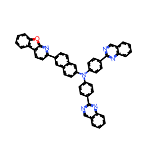 c1ccc2nc(-c3ccc(N(c4ccc(-c5ncc6ccccc6n5)cc4)c4ccc5cc(-c6ccc7c(n6)oc6ccccc67)ccc5c4)cc3)ncc2c1